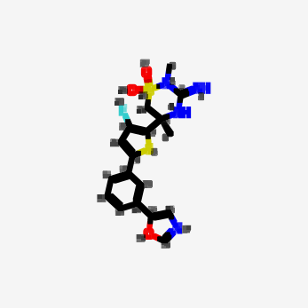 CN1C(=N)N[C@](C)(c2sc(-c3cccc(-c4cnco4)c3)cc2F)CS1(=O)=O